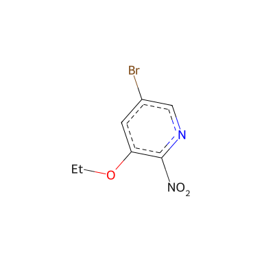 CCOc1cc(Br)cnc1[N+](=O)[O-]